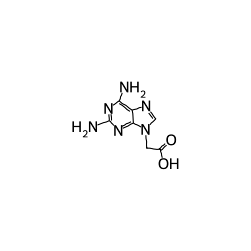 Nc1nc(N)c2ncn(CC(=O)O)c2n1